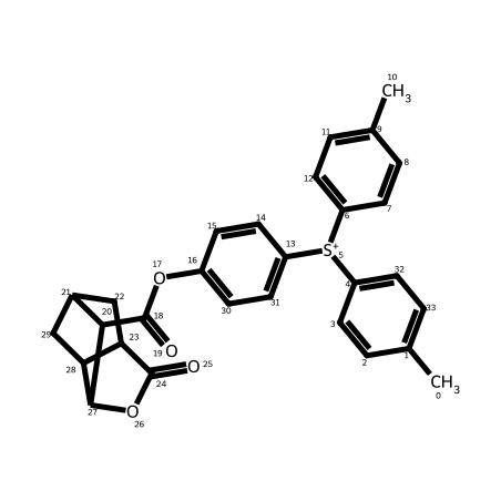 Cc1ccc([S+](c2ccc(C)cc2)c2ccc(OC(=O)C3C4CC5C(=O)OC3C5C4)cc2)cc1